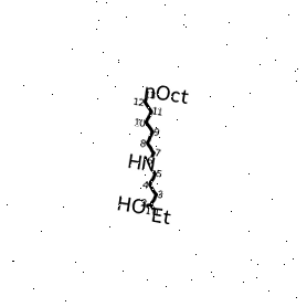 [CH2]CC(O)CCCNCCCCCCCCCCCCCC